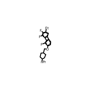 CCCC1CCC(COc2ccc3c(c2F)-c2c-3cc(CC)c(F)c2F)CC1